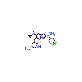 CN(c1cc2nc([C@@H](N)C3CCC(F)(F)CC3)cn2nc1C[C@@H]1C[C@@H](C(F)(F)F)CNC1=O)C1CC1